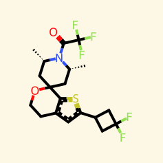 C[C@@H]1CC2(C[C@H](C)N1C(=O)C(F)(F)F)OCCc1cc(C3CC(F)(F)C3)sc12